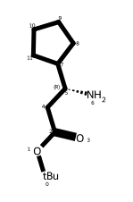 CC(C)(C)OC(=O)C[C@@H](N)C1CCCC1